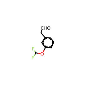 O=CCc1cccc(OC(F)F)c1